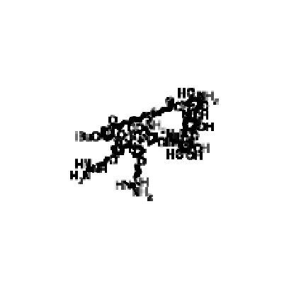 CC(C)CO[C@@H]1CC(C(N)=O)N(C(=O)[C@@H]2C[C@@H](OCCCNC(=N)N)CN2C(=O)C2C[C@@H](OCCCNC(=N)N)CN2C(=O)[C@@H]2C[C@@H](OCC(C)C)CN2C(=O)CCC(=O)CCCSSCCCC(=O)OC[C@H]2O[C@H](O[C@@H]3[C@@H](O)[C@H](O[C@H]4O[C@H](CN)[C@@H](O)[C@H](O)[C@H]4O)[C@@H](N)C[C@H]3N)[C@H](O)[C@@H](N)[C@@H]2O)C1